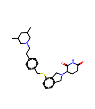 CC1CC(C)CN(CCc2ccc(CSc3cccc4c3CN(C3CCC(=O)NC3=O)C4)cc2)C1